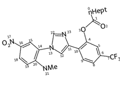 CCCCCCCC(=O)Oc1cc(C(F)(F)F)ccc1-c1cn(-c2cc([N+](=O)[O-])ccc2NC)cn1